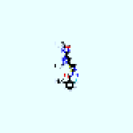 Cc1nc(-c2cc(-c3cnc(NC(=O)c4c(C)cccc4F)s3)n(C)n2)no1